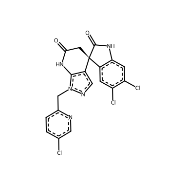 O=C1C[C@]2(C(=O)Nc3cc(Cl)c(Cl)cc32)c2cnn(Cc3ccc(Cl)cn3)c2N1